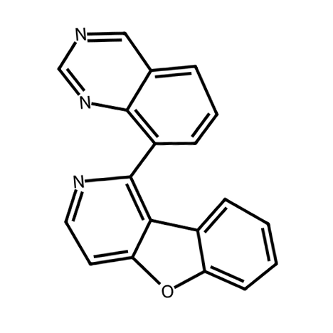 c1cc(-c2nccc3oc4ccccc4c23)c2ncncc2c1